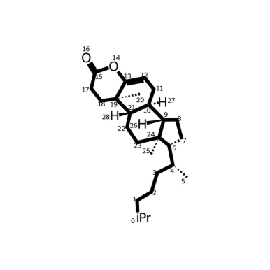 CC(C)CCC[C@@H](C)[C@H]1CC[C@H]2[C@@H]3CC=C4OC(=O)CC[C@]4(C)[C@H]3CC[C@]12C